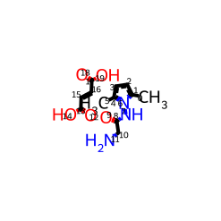 Cc1ccc(C)n1NC(=O)CN.O=C(O)/C=C/C(=O)O